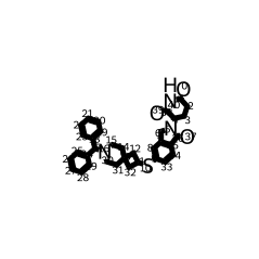 O=C1CCC(N2Cc3cc(SC4CC5(CCN(C(c6ccccc6)c6ccccc6)CC5)C4)ccc3C2=O)C(=O)N1